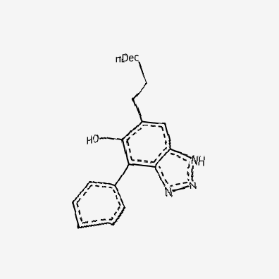 CCCCCCCCCCCCc1cc2[nH]nnc2c(-c2ccccc2)c1O